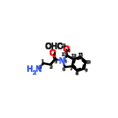 NCCC(=O)N1Cc2ccccc2C1OC=O